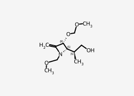 C=C1[C@H](OCOC)[C@H]([C@H](C)CO)N1COC